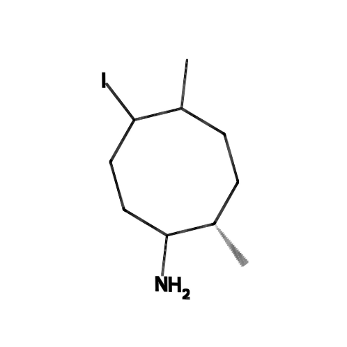 CC1CC[C@H](C)C(N)CCC1I